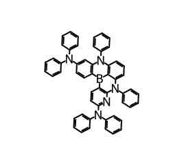 c1ccc(N(c2ccccc2)c2ccc3c(c2)N(c2ccccc2)c2cccc4c2B3c2ccc(N(c3ccccc3)c3ccccc3)nc2N4c2ccccc2)cc1